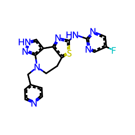 Fc1cnc(Nc2nc3c(s2)CCN(Cc2ccncc2)c2n[nH]cc2-3)nc1